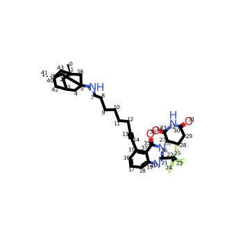 C[C@]12CC3CC(NCCCCCCC#Cc4cccc5nc(C(F)(F)F)n([C@H]6CCC(=O)NC6=O)c(=O)c45)(C1)C[C@@](C)(C3)C2